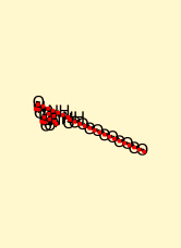 COCCOCCOCCOCCOCCOCCOCCOCCOCCOCC(=O)NCCCC[C@H](NC(=O)CCCN1C(=O)C=CC1=O)C(=O)N[C@H](C(=O)ON1C(=O)CCC1=O)C(C)C